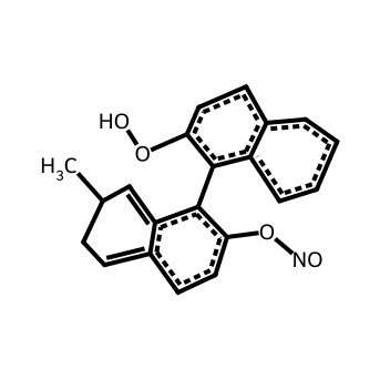 CC1C=c2c(-c3c(OO)ccc4ccccc34)c(ON=O)ccc2=CC1